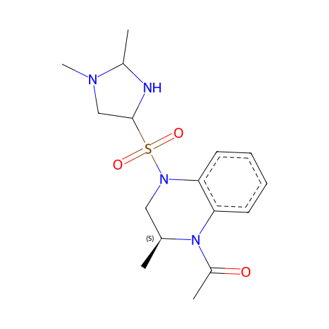 CC(=O)N1c2ccccc2N(S(=O)(=O)C2CN(C)C(C)N2)C[C@@H]1C